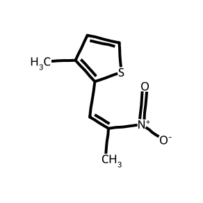 CC(=Cc1sccc1C)[N+](=O)[O-]